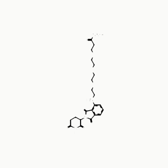 CNC(=O)CCOCCOCCOCCNc1cccc2c1C(=O)N(C1CCC(=O)NC1=O)C2=O